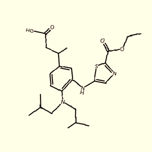 CCOC(=O)c1ncc(Nc2cc(C(C)CC(=O)O)ccc2N(CC(C)C)CC(C)C)s1